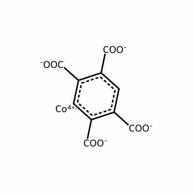 O=C([O-])c1cc(C(=O)[O-])c(C(=O)[O-])cc1C(=O)[O-].[Co+4]